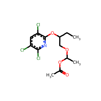 CCC(COC(C)OC(C)=O)Oc1nc(Cl)c(Cl)cc1Cl